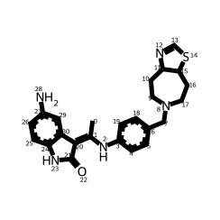 C/C(Nc1ccc(CN2CCC3N=CSC3CC2)cc1)=C1/C(=O)Nc2ccc(N)cc21